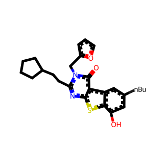 CCCCc1cc(O)c2sc3nc(CCC4CCCC4)n(Cc4ccco4)c(=O)c3c2c1